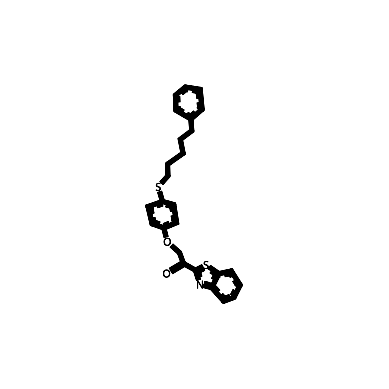 O=C(COc1ccc(SCCCCCc2ccccc2)cc1)c1nc2ccccc2s1